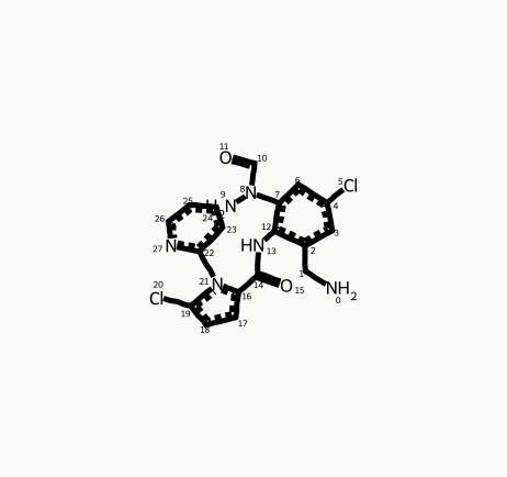 NCc1cc(Cl)cc(N(N)C=O)c1NC(=O)c1ccc(Cl)n1-c1ccccn1